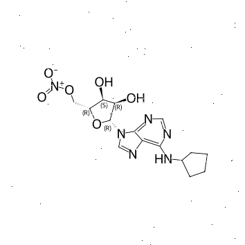 O=[N+]([O-])OC[C@H]1O[C@@H](n2cnc3c(NC4CCCC4)ncnc32)[C@H](O)[C@@H]1O